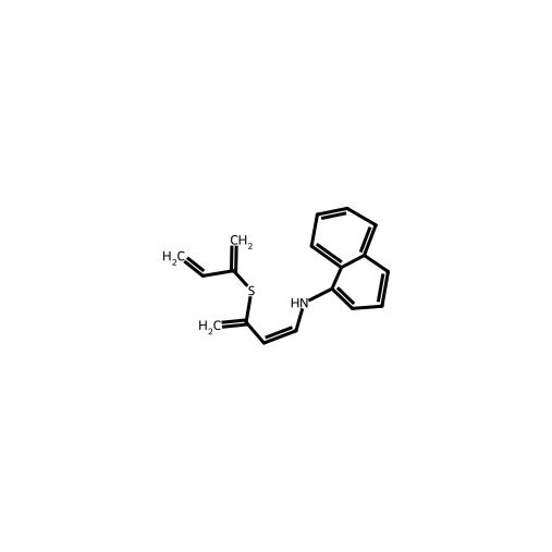 C=CC(=C)SC(=C)/C=C\Nc1cccc2ccccc12